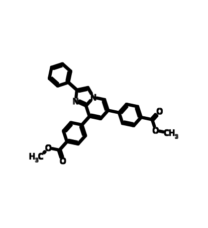 COC(=O)c1ccc(-c2cc(-c3ccc(C(=O)OC)cc3)c3nc(-c4ccccc4)cn3c2)cc1